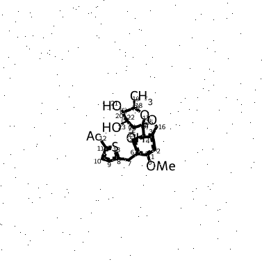 COc1cc2c(cc1Cc1ccc(C(C)=O)s1)[C@]1(OC2)O[C@H](C)[C@@H](O)[C@H](O)[C@H]1O